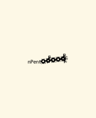 CCCCCC1CCC(c2ccc(C3=CCC(C4CCC(c5cc(F)c(F)c(F)c5)CC4)CC3)c(F)c2)CC1